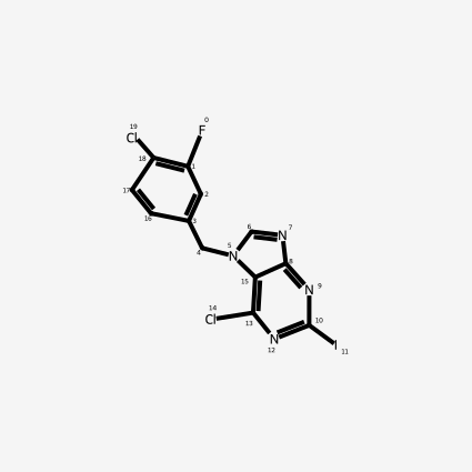 Fc1cc(Cn2cnc3nc(I)nc(Cl)c32)ccc1Cl